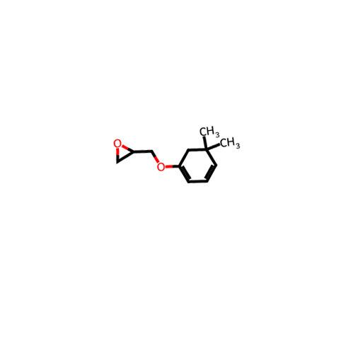 CC1(C)C=CC=C(OCC2CO2)C1